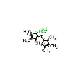 CC1=C(C)C(C)=[C]([Ti][C]2=C(C)C(C)=C(C)C2)C1.Cl.Cl